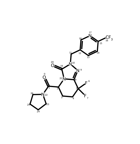 O=C(C1CCC(F)(F)c2nn(Cc3ccc(C(F)(F)F)nc3)c(=O)n21)N1CCCC1